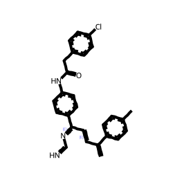 C=C(/C=C/C(=N\C=N)c1ccc(NC(=O)Cc2ccc(Cl)cc2)cc1)c1ccc(C)cc1